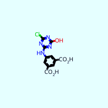 O=C(O)c1cc(Nc2nc(O)nc(Cl)n2)cc(C(=O)O)c1